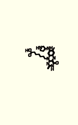 C=c1nc2c(c(=O)[nH]1)=Nc1cc(C)c(N[C@H]3CCNC3)cc1N2CCCCCCC(=O)O